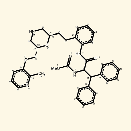 COC(=O)NC(C(=O)Nc1ccccc1CC[C@@H]1CNC[C@@H](COc2cccnc2C)O1)C(c1ccccc1)c1ccccc1